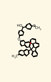 COc1ccc(C(O)c2ccc(Oc3ccc4cc(C5(c6ccc7cc(C)ccc7c6)c6ccccc6-c6ccc7ccccc7c65)ccc4c3)cc2)cc1